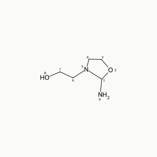 NC1OCCN1CCO